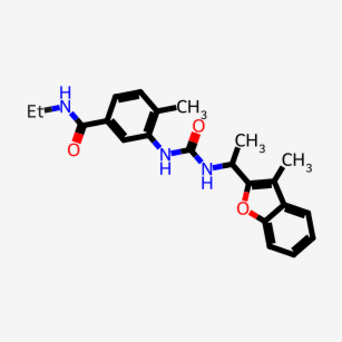 CCNC(=O)c1ccc(C)c(NC(=O)NC(C)c2oc3ccccc3c2C)c1